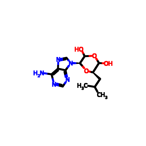 CC(C)C[C@H]1O[C@@H](n2cnc3c(N)ncnc32)C(O)OC1O